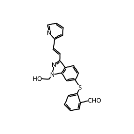 O=Cc1ccccc1Sc1ccc2c(/C=C/c3ccccn3)nn(CO)c2c1